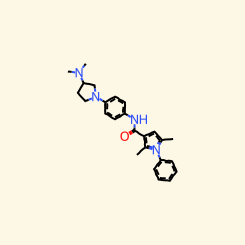 Cc1cc(C(=O)Nc2ccc(N3CCC(N(C)C)C3)cc2)c(C)n1-c1ccccc1